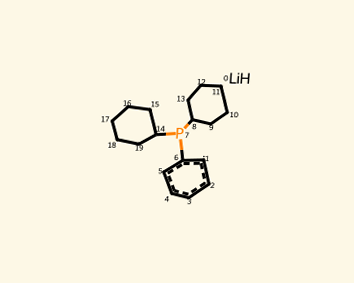 [LiH].[c]1ccccc1P(C1CCCCC1)C1CCCCC1